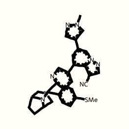 CSc1ccc(CN2C3CCC2CN(c2ccc(-c4cc(-c5cnn(C)c5)cn5ncc(C#N)c45)cn2)C3)cc1